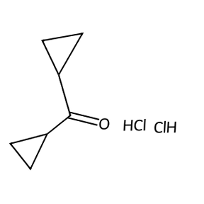 Cl.Cl.O=C(C1CC1)C1CC1